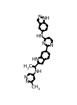 C=C(Nc1cnnc(C)c1)c1cc2ccc(-c3nccc(Nc4ccc5[nH]ncc5c4)n3)cc2[nH]1